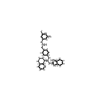 Cc1cc(CNCc2ccc(CN(Cc3nc4ccccc4[nH]3)C3CCCc4cccnc43)cc2)cc(C)n1